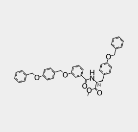 COC(=O)[C@H](Cc1ccc(OCc2ccccc2)cc1)NC(=O)c1cccc(OCc2ccc(OCc3ccccc3)cc2)c1